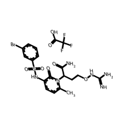 Cc1ccc(NS(=O)(=O)c2cccc(Br)c2)c(=O)n1C(CCONC(=N)N)C(N)=O.O=C(O)C(F)(F)F